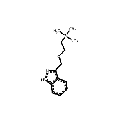 C[Si](C)(C)CCOCc1n[nH]c2ccccc12